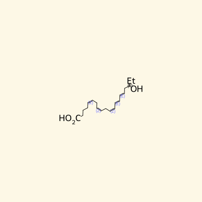 CC[C@@H](O)C/C=C/C=C/C=C\C/C=C\C/C=C\CCCC(=O)O